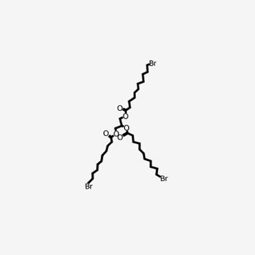 O=C(CCCCCCCCCCBr)OCC(COC(=O)CCCCCCCCCCBr)OC(=O)CCCCCCCCCCBr